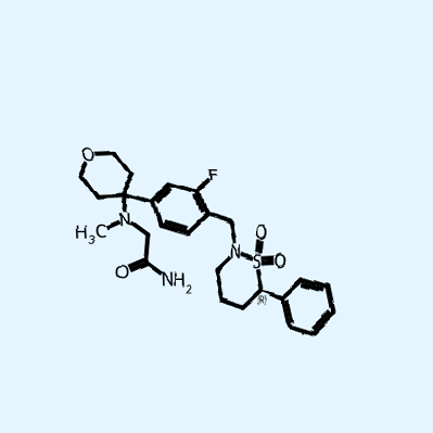 CN(CC(N)=O)C1(c2ccc(CN3CCC[C@H](c4ccccc4)S3(=O)=O)c(F)c2)CCOCC1